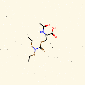 CCSN(SCC)C(=S)SC[C@H](NC(C)=O)C(=O)O